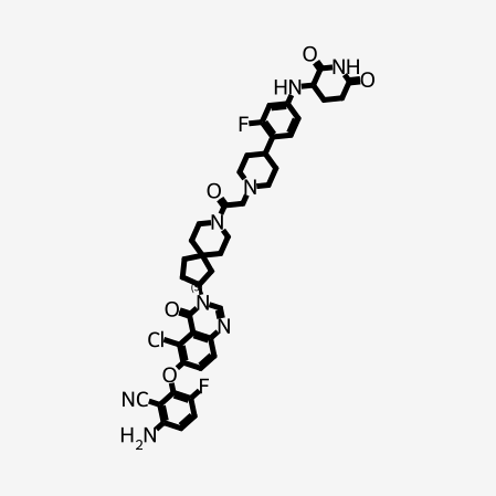 N#Cc1c(N)ccc(F)c1Oc1ccc2ncn([C@H]3CCC4(CCN(C(=O)CN5CCC(c6ccc(NC7CCC(=O)NC7=O)cc6F)CC5)CC4)C3)c(=O)c2c1Cl